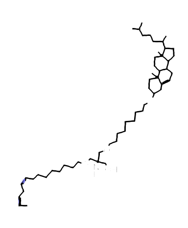 C/C=C\C/C=C\CCCCCCCCOCC(N)(CO)COCCCCCCCCCOC1CCC2(C)C(=CCC3C2CCC2(C)C(C(C)CCCC(C)C)CCC32)C1